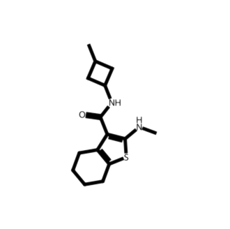 CNc1sc2c(c1C(=O)NC1CC(C)C1)CCCC2